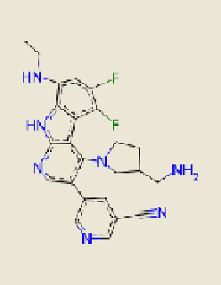 CCNc1cc(F)c(F)c2c1[nH]c1ncc(-c3cncc(C#N)c3)c(N3CCC(CN)C3)c12